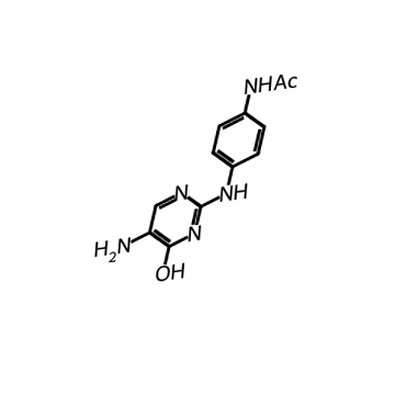 CC(=O)Nc1ccc(Nc2ncc(N)c(O)n2)cc1